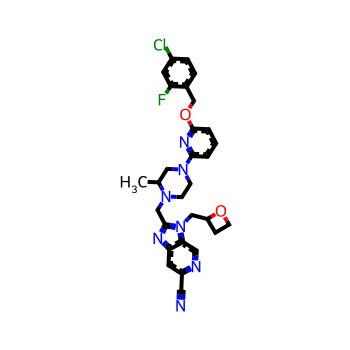 CC1CN(c2cccc(OCc3ccc(Cl)cc3F)n2)CCN1Cc1nc2cc(C#N)ncc2n1CC1CCO1